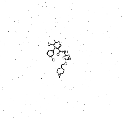 COc1c(C)ncc(C(=O)Nc2nnc(OCC3CCN(C)CC3)s2)c1-c1ccnc(Cl)c1